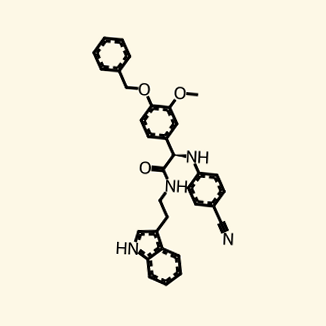 COc1cc([C@@H](Nc2ccc(C#N)cc2)C(=O)NCCc2c[nH]c3ccccc23)ccc1OCc1ccccc1